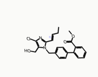 CC/C=C/c1nc(Cl)c(CO)n1Cc1ccc(-c2ccccc2C(=O)OC)cc1